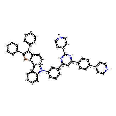 c1ccc(-c2sc3c(ccc4c3c3ccccc3n4-c3cccc(-c4cc(-c5ccc(-c6ccncc6)cc5)nc(-c5ccncc5)n4)c3)c2-c2ccccc2)cc1